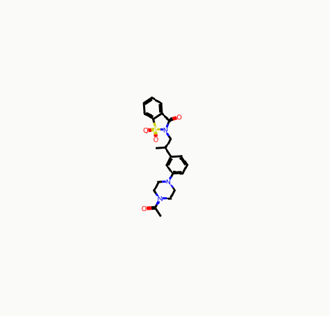 CC(=O)N1CCN(c2cccc(C(C)CN3C(=O)c4ccccc4S3(=O)=O)c2)CC1